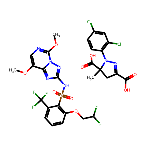 CC1(C(=O)O)CC(C(=O)O)=NN1c1ccc(Cl)cc1Cl.COc1cnc(OC)n2nc(NS(=O)(=O)c3c(OCC(F)F)cccc3C(F)(F)F)nc12